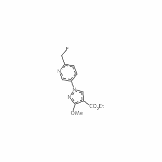 CCOC(=O)c1cn(-c2ccc(CF)nc2)nc1OC